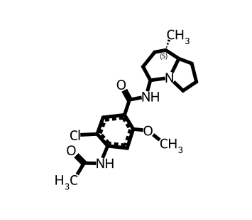 COc1cc(NC(C)=O)c(Cl)cc1C(=O)NC1CC[C@H](C)C2CCCN12